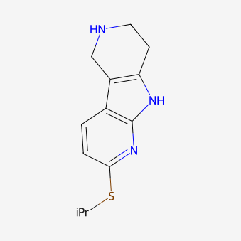 CC(C)Sc1ccc2c3c([nH]c2n1)CCNC3